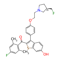 Cc1cc(F)cc(C)c1C(=O)c1sc2cc(O)ccc2c1-c1ccc(OCCN2CC[C@@H](CF)C2)cc1